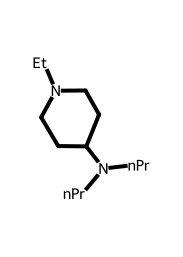 CCCN(CCC)C1CCN(CC)CC1